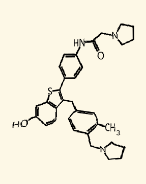 Cc1cc(Cc2c(-c3ccc(NC(=O)CN4CCCC4)cc3)sc3cc(O)ccc23)ccc1CN1CCCC1